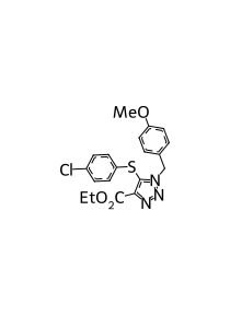 CCOC(=O)c1nnn(Cc2ccc(OC)cc2)c1Sc1ccc(Cl)cc1